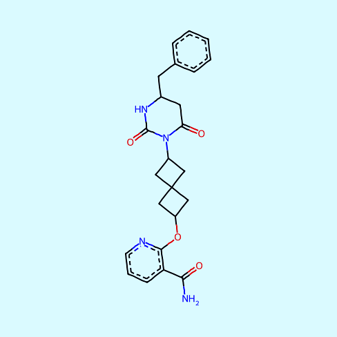 NC(=O)c1cccnc1OC1CC2(C1)CC(N1C(=O)CC(Cc3ccccc3)NC1=O)C2